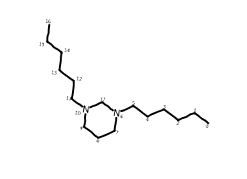 CCCCCCN1CCCN(CCCCCC)C1